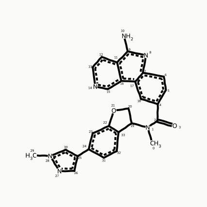 CN(C(=O)c1ccc2nc(N)c3ccncc3c2c1)C1COc2cc(-c3cnn(C)c3)ccc21